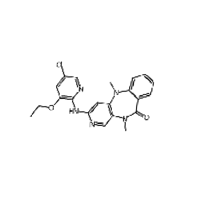 CCOc1cc(Cl)cnc1Nc1cc2c(cn1)N(C)C(=O)c1ccccc1N2C